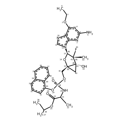 CCOc1nc(N)nc2c1ncn2[C@@H]1O[C@@]2(COP(=O)(NC(C)C(=O)OC(C)C)Oc3cccc4ccccc34)C[C@]2(O)[C@@]1(C)F